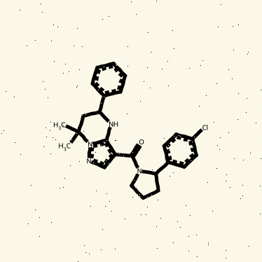 CC1(C)CC(c2ccccc2)Nc2c(C(=O)N3CCCC3c3ccc(Cl)cc3)cnn21